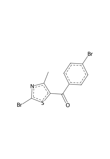 Cc1nc(Br)sc1C(=O)c1ccc(Br)cc1